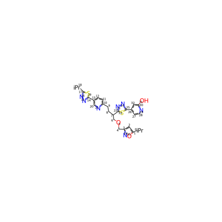 CC(C)c1cc(COCC(CCc2ccc(-c3nnc(C(C)C)s3)cn2)c2nnc(-c3ccnc(O)c3)s2)no1